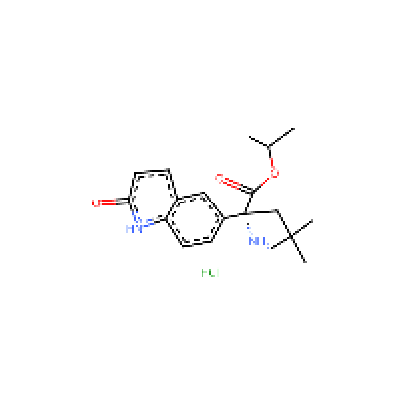 CC(C)OC(=O)[C@@](N)(CC(C)(C)C)c1ccc2[nH]c(=O)ccc2c1.Cl